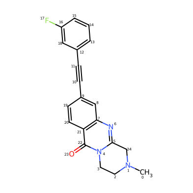 CN1CCn2c(nc3cc(C#Cc4cccc(F)c4)ccc3c2=O)C1